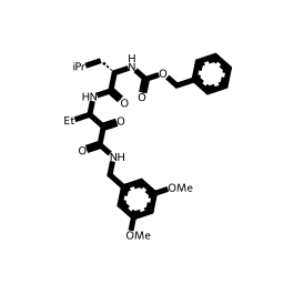 CCC(NC(=O)[C@H](CC(C)C)NC(=O)OCc1ccccc1)C(=O)C(=O)NCc1cc(OC)cc(OC)c1